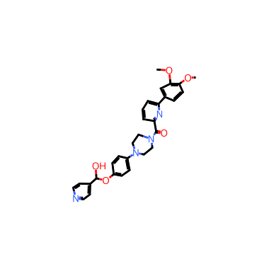 COc1ccc(-c2cccc(C(=O)N3CCN(c4ccc(OC(O)c5ccncc5)cc4)CC3)n2)cc1OC